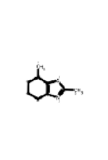 Cc1nc2c(s1)C(C)CCC2